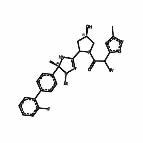 CCN1N=C(C2C[C@@H](O)CN2C(=O)C(c2cc(C)no2)C(C)C)N[C@@]1(C)c1ccc(-c2ccccc2F)cc1